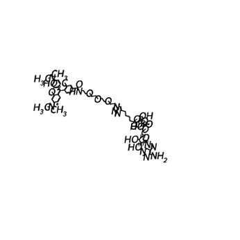 CN(C)c1ccc2c(-c3ccc(C(=O)NCCOCCOCCOCCn4cc(CCCCC(=O)OP(=O)(O)OP(=O)(O)OC[C@H]5O[C@@H](n6cnc7c(N)ncnc76)[C@@H](O)C5O)nn4)cc3C(=O)O)c3ccc(=[N+](C)C)cc-3oc2c1